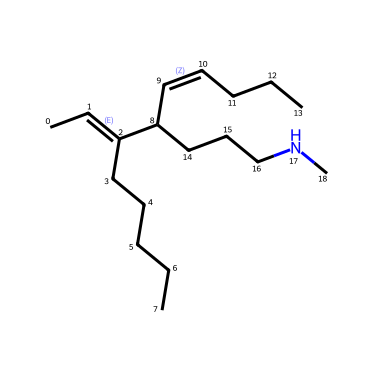 C/C=C(\CCCCC)C(/C=C\CCC)CCCNC